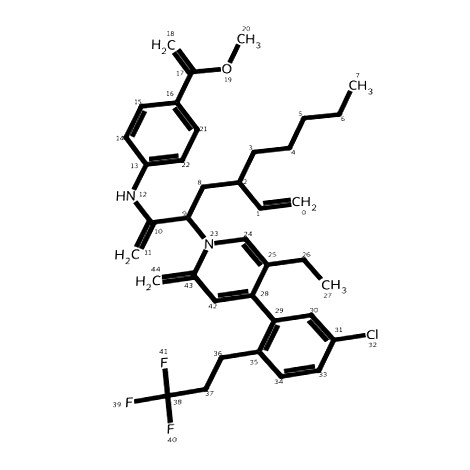 C=CC(CCCCC)CC(C(=C)Nc1ccc(C(=C)OC)cc1)N1C=C(CC)C(c2cc(Cl)ccc2CCC(F)(F)F)=CC1=C